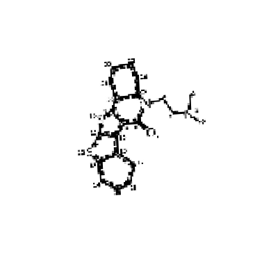 CN(C)CCn1c(=O)c2c(sc3sc4ccccc4c32)c2ccccc21